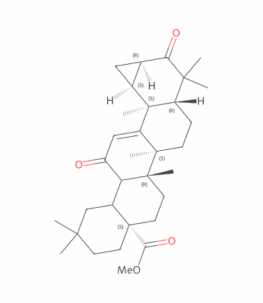 COC(=O)[C@]12CCC(C)(C)CC1C1C(=O)C=C3[C@@]4(C)[C@H]5C[C@H]5C(=O)C(C)(C)[C@@H]4CC[C@@]3(C)[C@]1(C)CC2